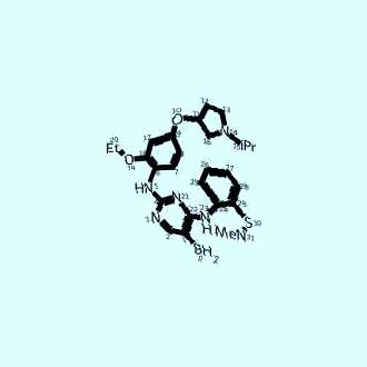 Bc1cnc(Nc2ccc(OC3CCN(C(C)C)C3)cc2OCC)nc1Nc1ccccc1SNC